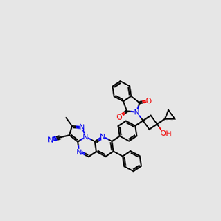 Cc1nn2c(ncc3cc(-c4ccccc4)c(-c4ccc(C5(N6C(=O)c7ccccc7C6=O)CC(O)(C6CC6)C5)cc4)nc32)c1C#N